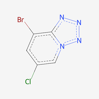 Clc1cc(Br)c2nnnn2c1